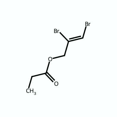 CCC(=O)OCC(Br)=CBr